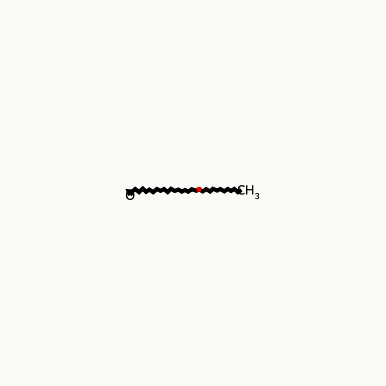 CCCCCCCCCCCCCCCCCCCCCCCCCCCCCCCC1CO1